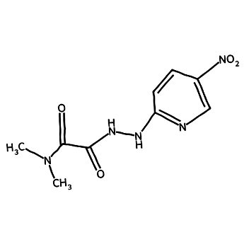 CN(C)C(=O)C(=O)NNc1ccc([N+](=O)[O-])cn1